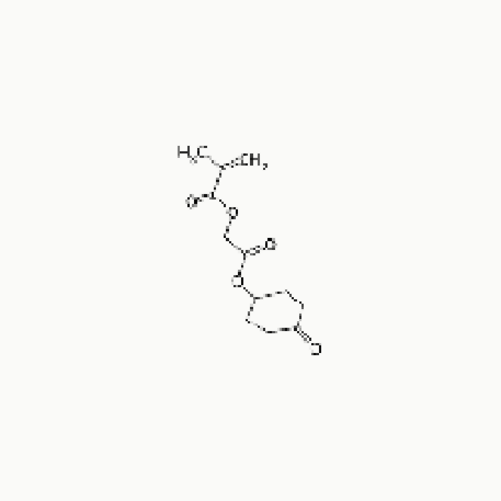 C=C(C)C(=O)OCC(=O)OC1CCC(=O)CC1